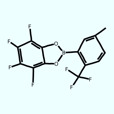 Cc1ccc(C(F)(F)F)c(B2Oc3c(F)c(F)c(F)c(F)c3O2)c1